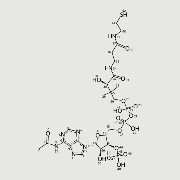 CC(=O)Nc1ncnc2c1ncn2[C@@H]1O[C@H](COP(=O)(O)OP(=O)(O)OCC(C)(C)[C@@H](O)C(=O)NCCC(=O)NCCS)[C@@H](OP(=O)(O)O)[C@H]1O